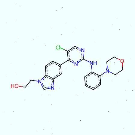 OCCn1cnc2cc(-c3nc(Nc4ccccc4N4CCOCC4)ncc3Cl)ccc21